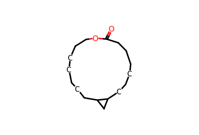 O=C1CCCCCCC2CC2CCCCCCCO1